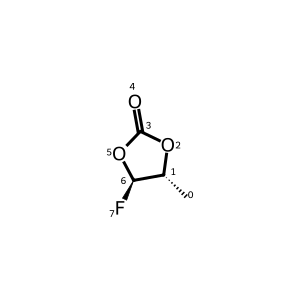 C[C@H]1OC(=O)O[C@@H]1F